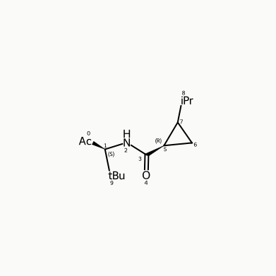 CC(=O)[C@@H](NC(=O)[C@@H]1CC1C(C)C)C(C)(C)C